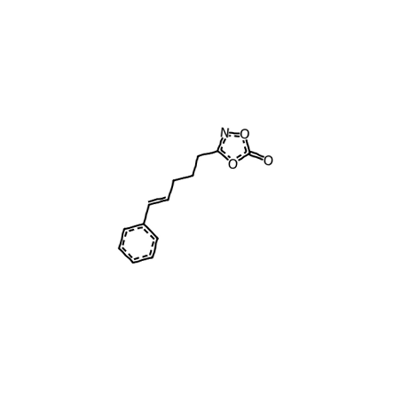 O=c1onc(CCCC=Cc2ccccc2)o1